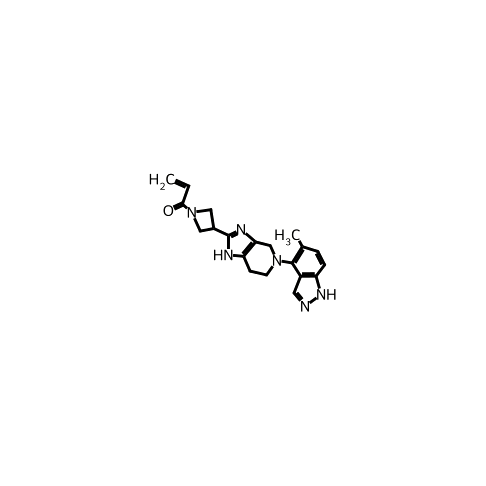 C=CC(=O)N1CC(c2nc3c([nH]2)CCN(c2c(C)ccc4[nH]ncc24)C3)C1